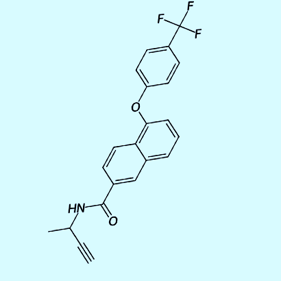 C#CC(C)NC(=O)c1ccc2c(Oc3ccc(C(F)(F)F)cc3)cccc2c1